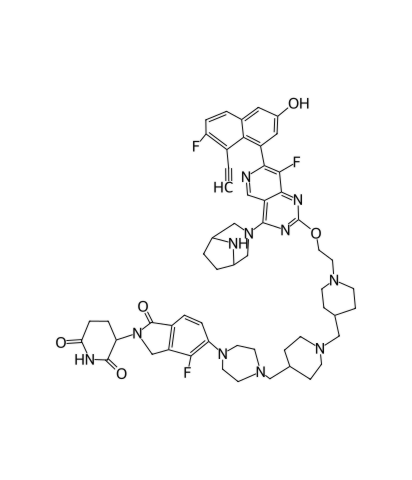 C#Cc1c(F)ccc2cc(O)cc(-c3ncc4c(N5CC6CCC(C5)N6)nc(OCCN5CCC(CN6CCC(CN7CCN(c8ccc9c(c8F)CN(C8CCC(=O)NC8=O)C9=O)CC7)CC6)CC5)nc4c3F)c12